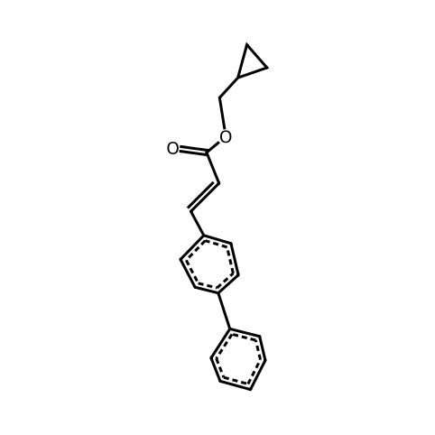 O=C(C=Cc1ccc(-c2ccccc2)cc1)OCC1CC1